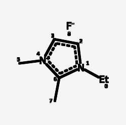 CCn1cc[n+](C)c1C.[F-]